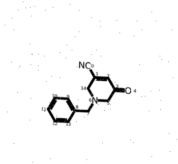 N#CC1=CC(=O)CN(Cc2ccccc2)C1